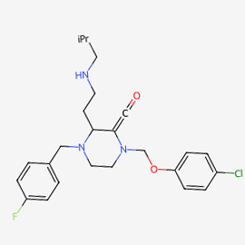 CC(C)CNCCC1C(=C=O)N(COc2ccc(Cl)cc2)CCN1Cc1ccc(F)cc1